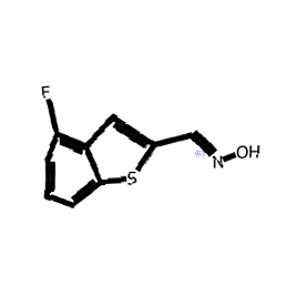 O/N=C/c1cc2c(F)cccc2s1